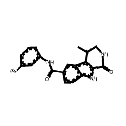 CC(C)c1cccc(NC(=O)c2ccc3[nH]c4c(c3c2)C(C)CNC4=O)c1